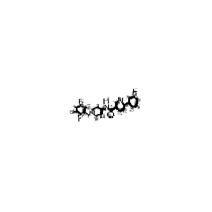 O=C(NC1CCN(Cc2c(F)c(F)cc(F)c2F)CC1)c1ccc(-c2cccc(F)c2)nc1